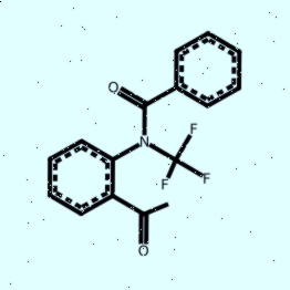 CC(=O)c1ccccc1N(C(=O)c1ccccc1)C(F)(F)F